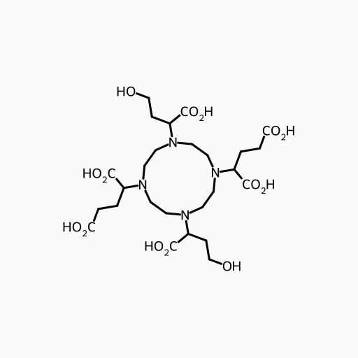 O=C(O)CCC(C(=O)O)N1CCN(C(CCO)C(=O)O)CCN(C(CCC(=O)O)C(=O)O)CCN(C(CCO)C(=O)O)CC1